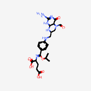 CC(C)O/C(=N\C(CCC(=O)O)C(=O)O)c1ccc(NCC2CN(C=O)C3C(=O)N=C(N)NC3N2)cc1